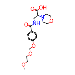 COCCOCOc1ccc(C(=O)NC[C@@H](C(=O)O)N2CCOCC2)cc1